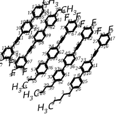 CCCCCc1ccc(-c2ccc(C#Cc3ccc(F)c(F)c3)cc2)cc1.CCCCc1ccc(-c2ccc(C#Cc3ccc(F)c(F)c3)cc2)cc1.CCCc1ccc(-c2ccc(C#Cc3ccc(F)c(F)c3)cc2)cc1.CCc1ccc(-c2ccc(C#Cc3ccc(F)c(F)c3)cc2)cc1.Cc1ccc(-c2ccc(C#Cc3ccc(F)c(F)c3)cc2)cc1